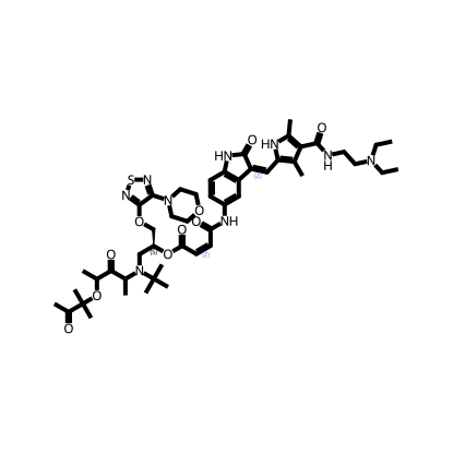 CCN(CC)CCNC(=O)c1c(C)[nH]c(/C=C2\C(=O)Nc3ccc(NC(=O)/C=C\C(=O)O[C@H](COc4nsnc4N4CCOCC4)CN(C(C)C(=O)C(C)OC(C)(C)C(C)=O)C(C)(C)C)cc32)c1C